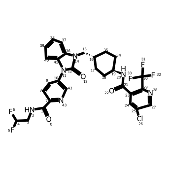 O=C(NCC(F)F)c1ccc(-n2c(=O)n(C[C@H]3CC[C@H](NC(=O)c4cc(Cl)cnc4C(F)(F)F)CC3)c3ccccc32)cn1